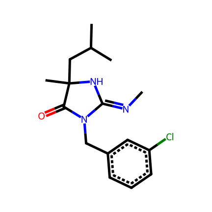 C/N=C1\NC(C)(CC(C)C)C(=O)N1Cc1cccc(Cl)c1